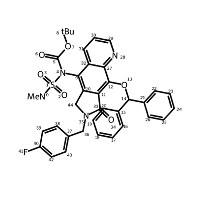 CNS(=O)(=O)N(C(=O)OC(C)(C)C)c1c2c(c(OC(c3ccccc3)c3ccccc3)c3ncccc13)C(=O)N(Cc1ccc(F)cc1)C2